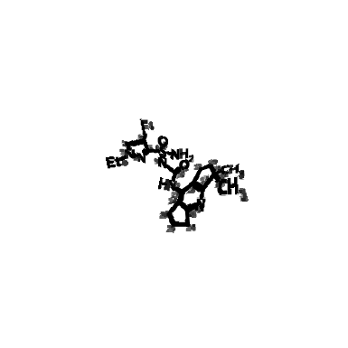 CCn1cc(F)c([S@](N)(=O)=NC(=O)Nc2c3c(nc4c2CCC4(C)C)CCC3)n1